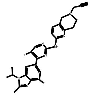 C#CCN1CCc2nc(Nc3ncc(F)c(-c4cc(F)c5nc(C)n(C(C)C)c5c4)n3)ccc2C1